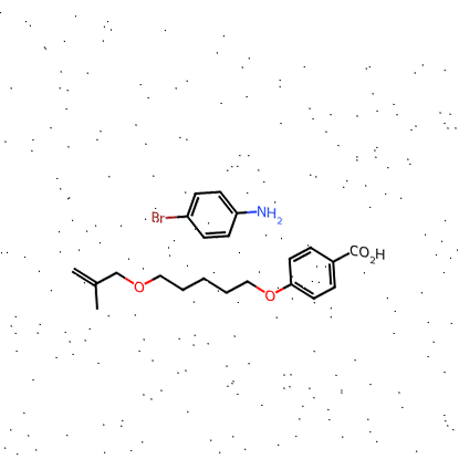 C=C(C)COCCCCCOc1ccc(C(=O)O)cc1.Nc1ccc(Br)cc1